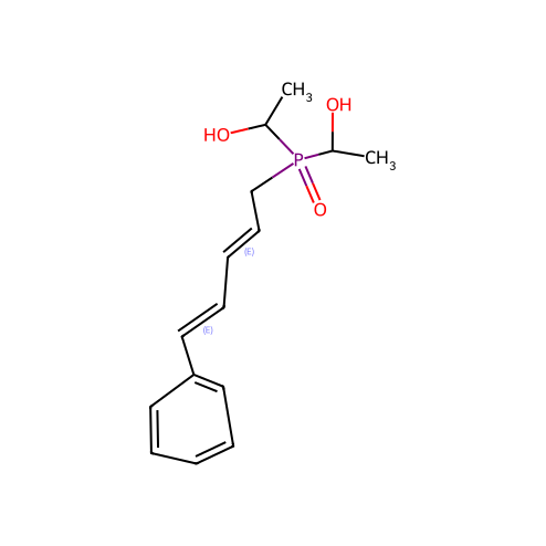 CC(O)P(=O)(C/C=C/C=C/c1ccccc1)C(C)O